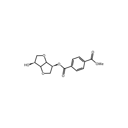 COC(=O)c1ccc(C(=O)O[C@H]2COC3C2OC[C@@H]3O)cc1